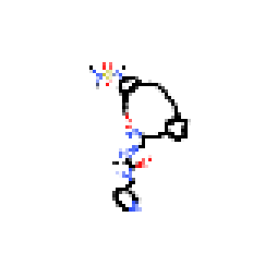 C[C@H](NCC1Cc2cccc(c2)CCCCc2cc(cc(N(C)S(=O)(=O)N(C)C)c2)CON1)C(=O)NCc1cccnc1